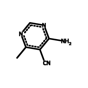 Cc1ncnc(N)c1C#N